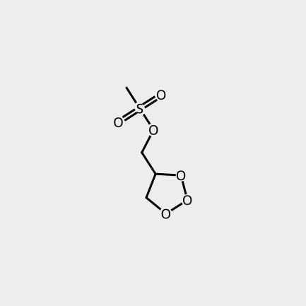 CS(=O)(=O)OCC1COOO1